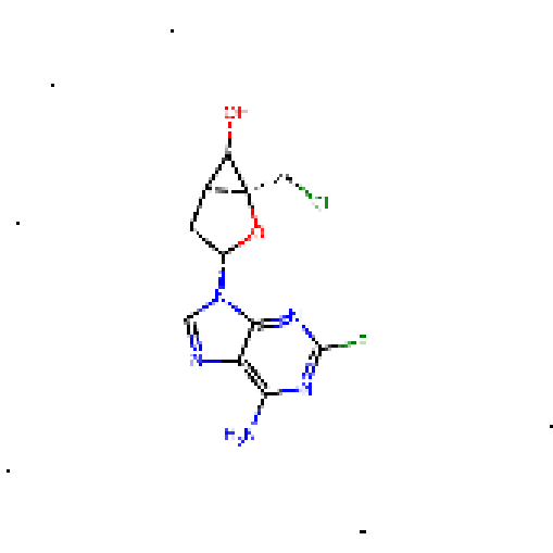 Nc1nc(F)nc2c1ncn2[C@H]1CC2C(O)[C@@]2(CCl)O1